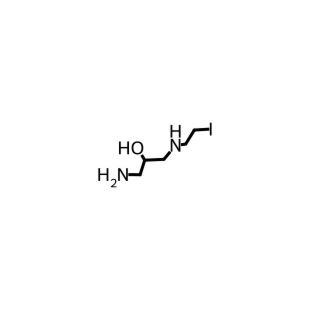 NCC(O)CNCCI